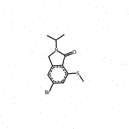 CSc1cc(Br)cc2c1C(=O)N(C(C)C)C2